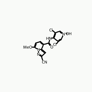 COc1ccc(C(=O)Nc2c(Cl)c[n+](O)cc2Cl)c2cc(C#N)nn12